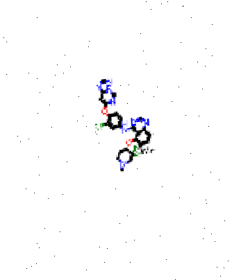 COc1ccc2ncnc(Nc3ccc(Oc4cc5ncnn5cn4)c(Cl)c3)c2c1O[C@@H]1CCN(C)CC1(F)F